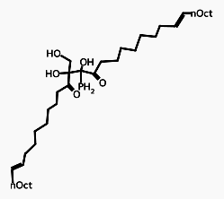 CCCCCCCC/C=C/CCCCCCCC(=O)C(O)(P)C(O)(CO)C(=O)CCCCCCC/C=C/CCCCCCCC